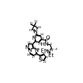 CCN(CC)[C@@H](C)CNC(=O)c1cc(-c2cnn3ccc(-c4cccs4)nc23)nc(N2CC(C)(C)C2)c1